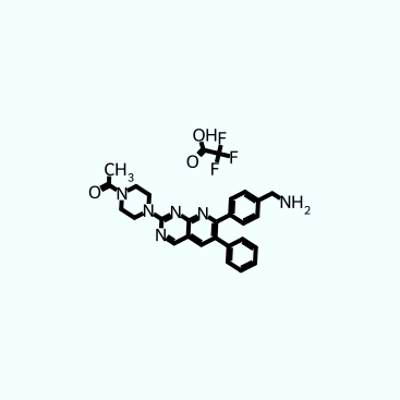 CC(=O)N1CCN(c2ncc3cc(-c4ccccc4)c(-c4ccc(CN)cc4)nc3n2)CC1.O=C(O)C(F)(F)F